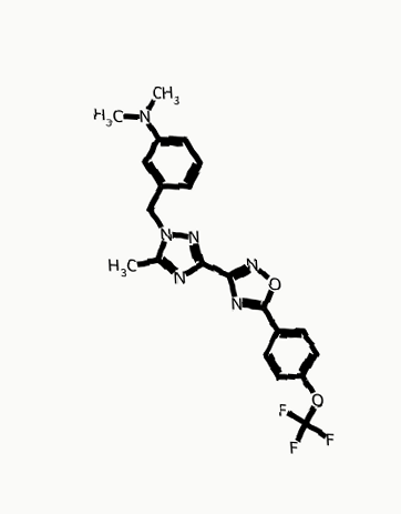 Cc1nc(-c2noc(-c3ccc(OC(F)(F)F)cc3)n2)nn1Cc1cccc(N(C)C)c1